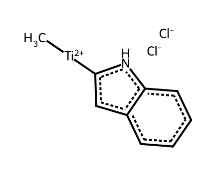 [CH3][Ti+2][c]1cc2ccccc2[nH]1.[Cl-].[Cl-]